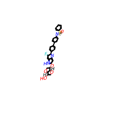 C[S@](=O)(=Nc1ccc(-c2ccc(-c3nc4cc(O[C@@H]5CO[C@H]6[C@@H]5OC[C@H]6O)[nH]c4cc3F)cc2)cc1)c1ccccc1